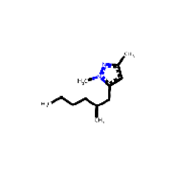 CCCCC(C)Cc1cc(C)nn1C